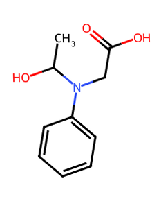 CC(O)N(CC(=O)O)c1ccccc1